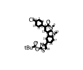 Cn1c(=O)c(-c2ccc(Cl)cc2)cc2c3cc(-c4csc(OC(=O)C(C)(C)C)n4)ccc3n(C)c21